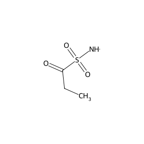 CCC(=O)S([NH])(=O)=O